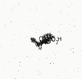 Cc1cc(C)c(C(c2cc(Cl)ccc2Cl)N(C(=O)O)c2ccnc(Nc3ccc(OCCCN4CCN(C)CC4)nc3)n2)c(C)c1